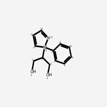 OCC(CO)[N+]1(c2ccccc2)C=CC=N1